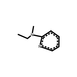 CCN(C)c1[c]cccn1